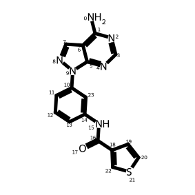 Nc1ncnc2c1cnn2-c1cccc(NC(=O)c2ccsc2)c1